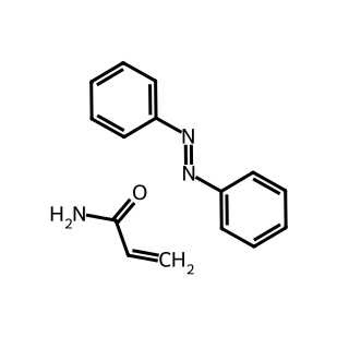 C=CC(N)=O.c1ccc(N=Nc2ccccc2)cc1